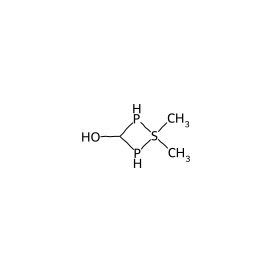 CS1(C)PC(O)P1